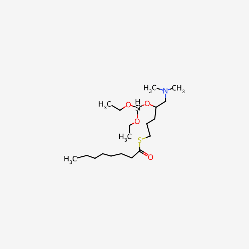 CCCCCCCC(=O)SCCCC(CN(C)C)O[SiH](OCC)OCC